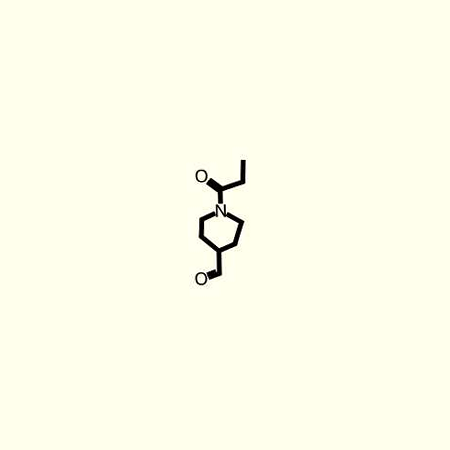 CCC(=O)N1CCC(C=O)CC1